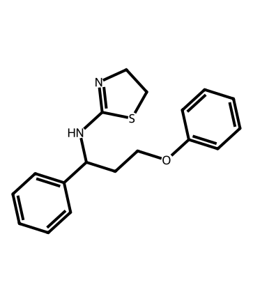 c1ccc(OCCC(NC2=NCCS2)c2ccccc2)cc1